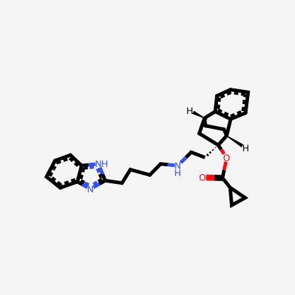 O=C(O[C@@]1(CCNCCCCc2nc3ccccc3[nH]2)C[C@H]2CC[C@@H]1c1ccccc12)C1CC1